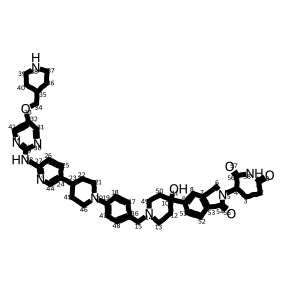 O=C1CCC(N2Cc3cc(C4(O)CCN(Cc5ccc(N6CCC(c7ccc(Nc8ncc(OCC9CCNCC9)cn8)nc7)CC6)cc5)CC4)ccc3C2=O)C(=O)N1